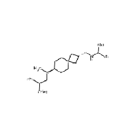 CCCCCCC(CCC)CN(C)[C@H]1CCC2(CC1)C[C@@H](CNC(CCC)CCCC)C2